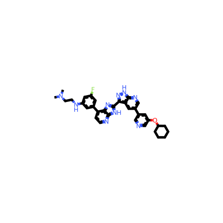 CN(C)CCNc1cc(F)cc(-c2ccnc3[nH]c(-c4n[nH]c5ncc(-c6cncc(OC7CCCCC7)c6)cc45)nc23)c1